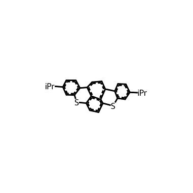 CC(C)c1ccc2c(c1)Sc1ccc3c4c(ccc-2c14)-c1ccc(C(C)C)cc1S3